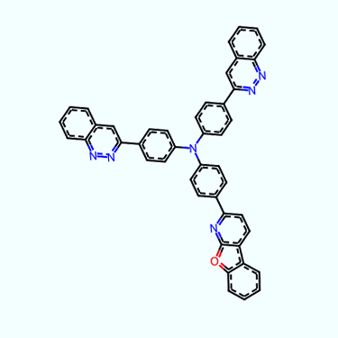 c1ccc2nnc(-c3ccc(N(c4ccc(-c5cc6ccccc6nn5)cc4)c4ccc(-c5ccc6c(n5)oc5ccccc56)cc4)cc3)cc2c1